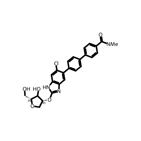 CNC(=O)c1ccc(-c2ccc(-c3cc4nc(O[C@@H]5CO[C@H](CO)C5O)[nH]c4cc3Cl)cc2)cc1